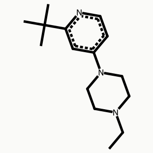 CCN1CCN(c2ccnc(C(C)(C)C)c2)CC1